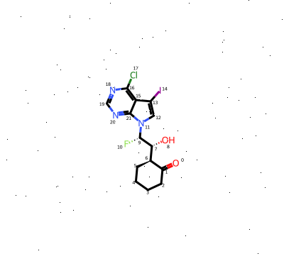 O=C1CCCC[C@H]1[C@@H](O)[C@H](F)n1cc(I)c2c(Cl)ncnc21